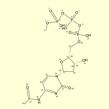 COP(=O)(O)OP(=O)(O)OP(=O)(O)OC[C@H]1O[C@@H](n2ccc(NC(C)=O)nc2=O)C[C@H]1O